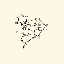 CC(C)(CO)C(Nc1ncccn1)(c1ccc(F)cc1F)c1cnc2cnccn12